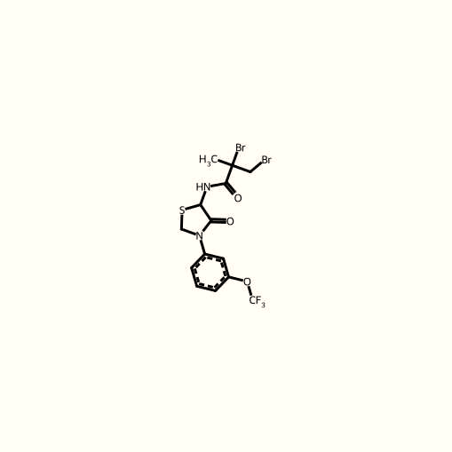 CC(Br)(CBr)C(=O)NC1SCN(c2cccc(OC(F)(F)F)c2)C1=O